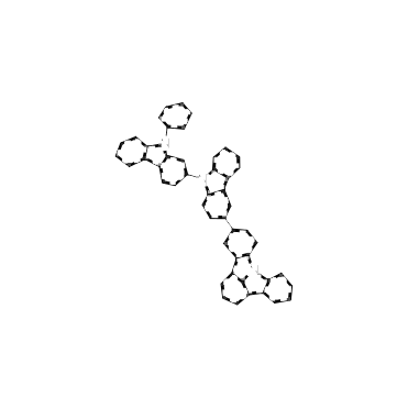 c1ccc(-n2c3ccccc3c3ccc(-n4c5ccccc5c5cc(-c6ccc7c(c6)c6cccc8c9ccccc9n7c86)ccc54)cc32)cc1